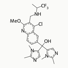 COc1nc2ccc(C(O)(c3cnc(C)n3C)c3cnc(C)n3C)cc2c(Cl)c1CNC(C)C(F)(F)F